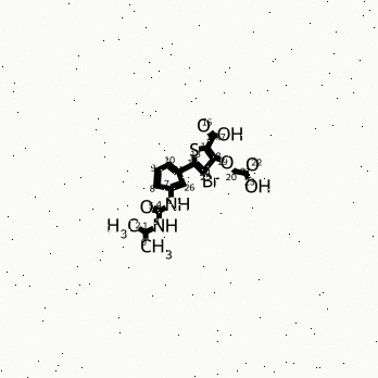 CC(C)NC(=O)Nc1cccc(-c2sc(C(=O)O)c(OCC(=O)O)c2Br)c1